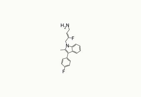 Cc1c(-c2ccc(F)cc2)c2ccccc2n1CC(F)=CCN